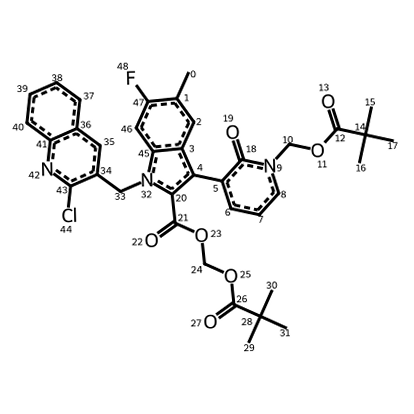 Cc1cc2c(-c3cccn(COC(=O)C(C)(C)C)c3=O)c(C(=O)OCOC(=O)C(C)(C)C)n(Cc3cc4ccccc4nc3Cl)c2cc1F